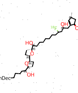 CCCCCCCCCCCCCC[C@@H](O)[C@H]1CC[C@H]([C@H]2CC[C@H]([C@H](O)CCCCCCCC([18F])C[C@@H](O)CC3=C[C@H](C)CC3=O)O2)O1